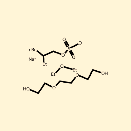 CCCCC(CC)COS(=O)(=O)[O-].CCOCC.OCCOCCOCCO.[Na+]